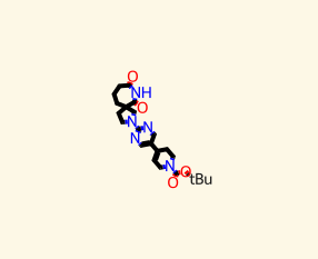 CC(C)(C)OC(=O)N1CC=C(c2cnc(N3CCC4(CCCC(=O)NC4=O)C3)nc2)CC1